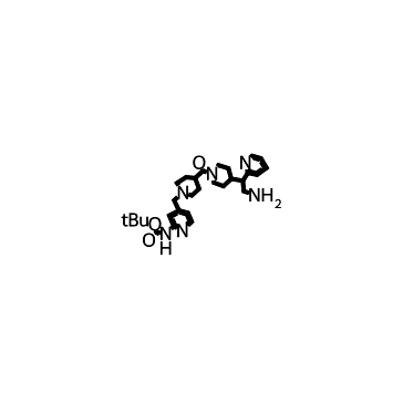 CC(C)(C)OC(=O)Nc1cc(CN2CCC(C(=O)N3CCC(C(CN)c4ccccn4)CC3)CC2)ccn1